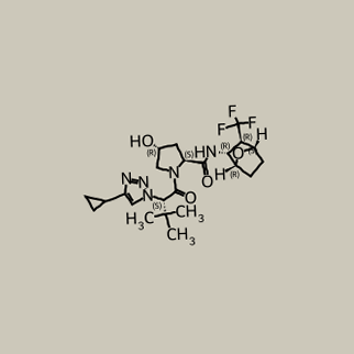 CC(C)(C)[C@@H](C(=O)N1C[C@H](O)C[C@H]1C(=O)N[C@@H]1[C@@H](C(F)(F)F)[C@@H]2CC[C@H]1O2)n1cc(C2CC2)nn1